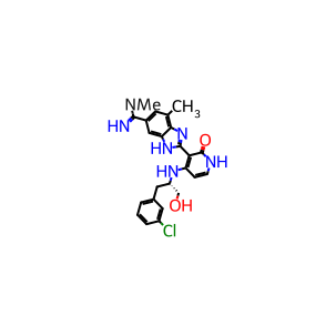 CNC(=N)c1cc(C)c2nc(-c3c(N[C@H](CO)Cc4cccc(Cl)c4)cc[nH]c3=O)[nH]c2c1